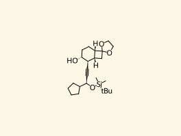 CC(C)(C)[Si](C)(C)O[C@H](C#C[C@@H]1[C@H]2CC3(OCCO3)[C@H]2CC[C@H]1O)C1CCCC1